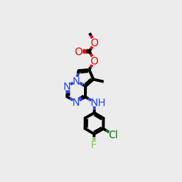 COC(=O)Oc1cn2ncnc(Nc3ccc(F)c(Cl)c3)c2c1C